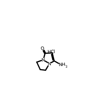 Cl.Nc1cc(=O)n2n1CCC2